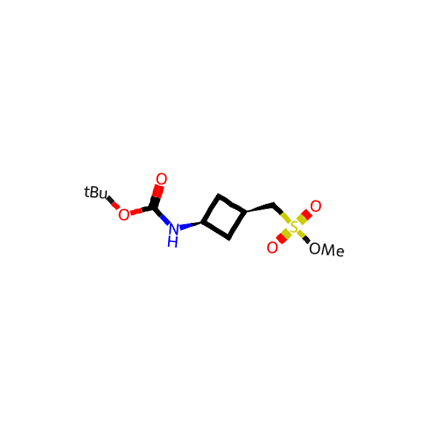 COS(=O)(=O)C[C@H]1C[C@@H](NC(=O)OC(C)(C)C)C1